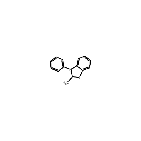 CC1Sc2ccccc2N1c1ccccc1